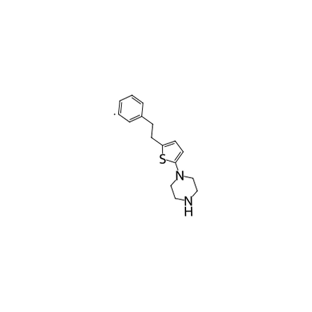 [c]1cccc(CCc2ccc(N3CCNCC3)s2)c1